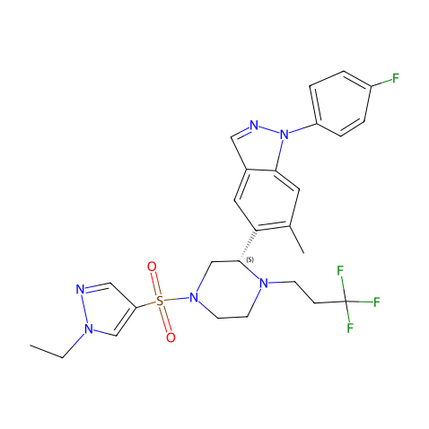 CCn1cc(S(=O)(=O)N2CCN(CCC(F)(F)F)[C@@H](c3cc4cnn(-c5ccc(F)cc5)c4cc3C)C2)cn1